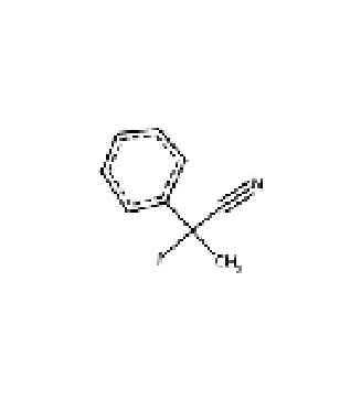 CC(I)(C#N)c1ccccc1